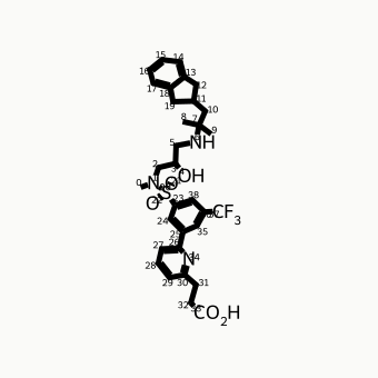 CN(CC(O)CNC(C)(C)CC1Cc2ccccc2C1)S(=O)(=O)c1cc(-c2cccc(CCC(=O)O)n2)cc(C(F)(F)F)c1